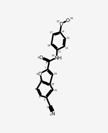 N#Cc1ccc2oc(C(=O)Nc3c[c]c(O[O])cc3)cc2c1